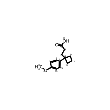 COc1ccc(C2(CCC(=O)O)CCC2)cc1